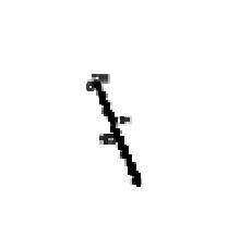 CCCCCCCCC=CCC(O)CCC(O)CCCCCCCCC(=O)O